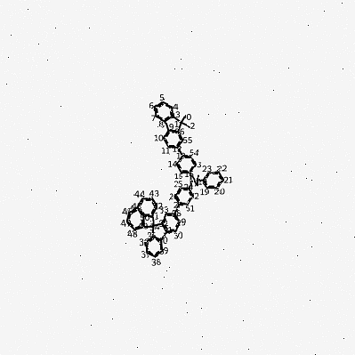 CC1(C)c2ccccc2-c2ccc(-c3ccc(N(c4ccccc4)c4ccc(-c5ccc6c(c5)C5(c7ccccc7-6)c6cccc7cccc5c67)cc4)cc3)cc21